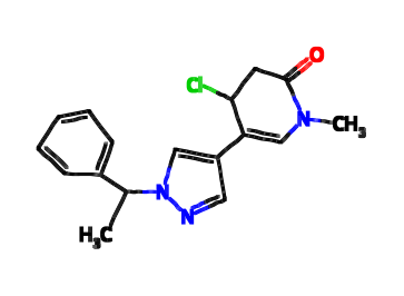 CC(c1ccccc1)n1cc(C2=CN(C)C(=O)CC2Cl)cn1